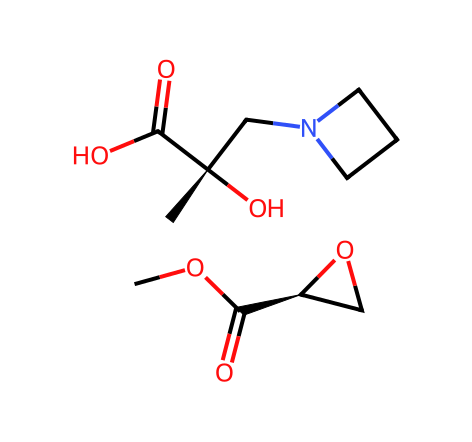 COC(=O)[C@@H]1CO1.C[C@](O)(CN1CCC1)C(=O)O